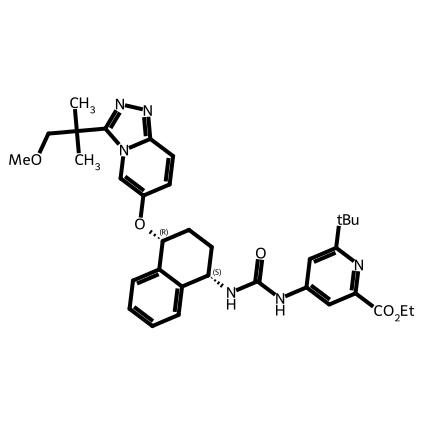 CCOC(=O)c1cc(NC(=O)N[C@H]2CC[C@@H](Oc3ccc4nnc(C(C)(C)COC)n4c3)c3ccccc32)cc(C(C)(C)C)n1